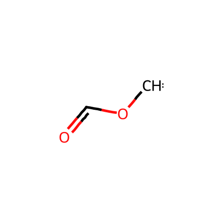 [CH]OC=O